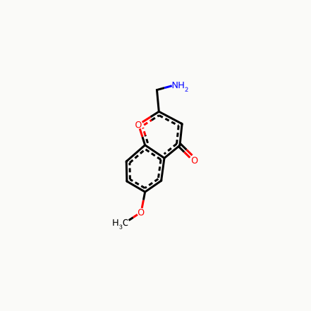 COc1ccc2oc(CN)cc(=O)c2c1